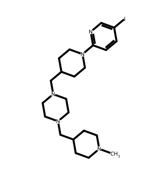 CN1CCC(CN2CCN(CC3CCN(c4ccc(I)cn4)CC3)CC2)CC1